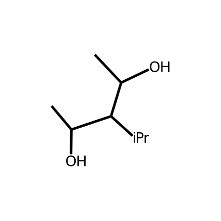 CC(C)C(C(C)O)C(C)O